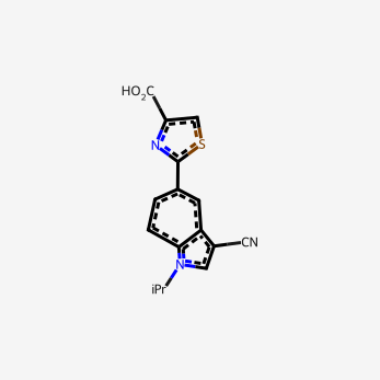 CC(C)n1cc(C#N)c2cc(-c3nc(C(=O)O)cs3)ccc21